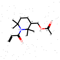 C=CC(=O)N1C(C)(C)CCC(COC(C)=O)C1(C)C